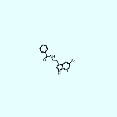 O=C(NCCc1c[nH]c2ncc(Br)cc12)c1ccccc1